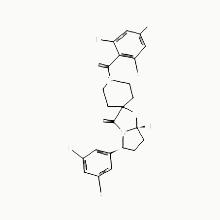 O=C(c1c(F)cc(F)cc1F)N1CCC2(CC1)O[C@@H]1CC[C@@H](c3cc(F)cc(F)c3)N1C2=O